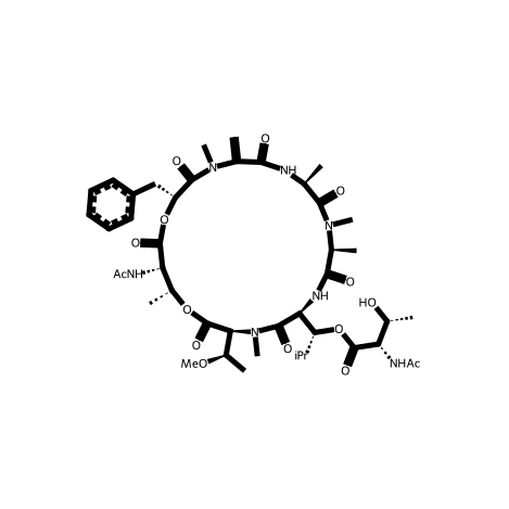 C=C1C(=O)N[C@@H](C)C(=O)N(C)[C@@H](C)C(=O)N[C@@H]([C@H](OC(=O)[C@@H](NC(C)=O)[C@@H](C)O)C(C)C)C(=O)N(C)[C@@H]([C@@H](C)OC)C(=O)O[C@H](C)[C@H](NC(C)=O)C(=O)O[C@H](Cc2ccccc2)C(=O)N1C